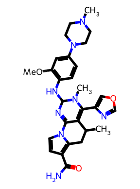 COc1cc(N2CCN(C)CC2)ccc1NC1N=C2C(=C(c3cocn3)N1C)C(C)Cc1c(C(N)=O)ccn12